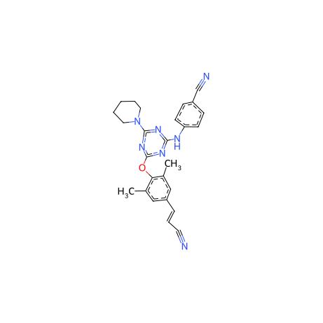 Cc1cc(C=CC#N)cc(C)c1Oc1nc(Nc2ccc(C#N)cc2)nc(N2CCCCC2)n1